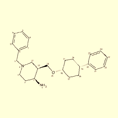 N[C@H]1CCN(Cc2ccccc2)C[C@H]1CO[C@H]1CC[C@@H](c2ccccc2)CC1